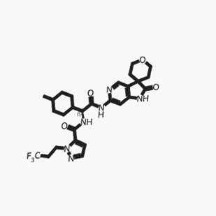 CC1CCC([C@H](NC(=O)c2ccnn2CCC(F)(F)F)C(=O)Nc2cc3c(cn2)C2(CCOCC2)C(=O)N3)CC1